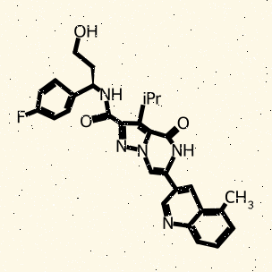 Cc1cccc2ncc(-c3cn4nc(C(=O)N[C@H](CCO)c5ccc(F)cc5)c(C(C)C)c4c(=O)[nH]3)cc12